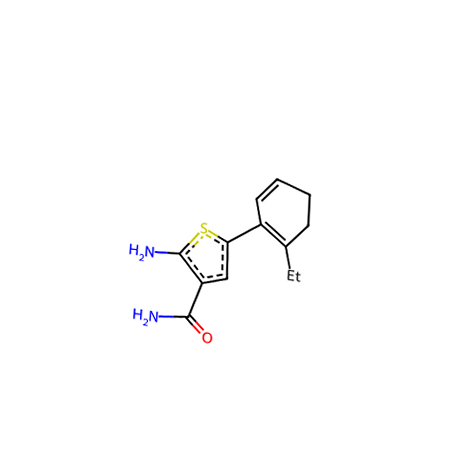 CCC1=C(c2cc(C(N)=O)c(N)s2)C=CCC1